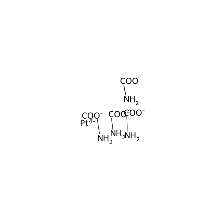 NC(=O)[O-].NC(=O)[O-].NC(=O)[O-].NC(=O)[O-].[Pt+4]